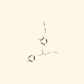 CCOCCC(COc1ccc(C)cc1)CSc1ccc(OCC2OC(C)O2)c(C)c1